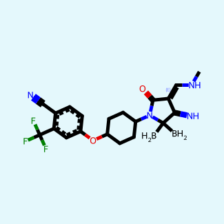 BC1(B)C(=N)/C(=C\NC)C(=O)N1C1CCC(Oc2ccc(C#N)c(C(F)(F)F)c2)CC1